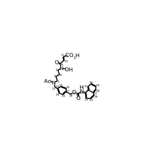 CC(=O)N(CCCCN(O)C(=O)/C=C/C(=O)O)Cc1ccc(COC(=O)Nc2cccc3ccccc23)cc1